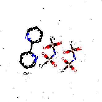 O=S(=O)([N-]S(=O)(=O)C(F)(F)F)C(F)(F)F.O=S(=O)([N-]S(=O)(=O)C(F)(F)F)C(F)(F)F.[Co+2].c1ccc(-c2ccccn2)nc1